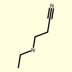 CC[N]CCC#N